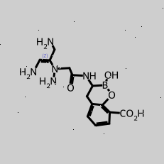 N/C=C(/CN)N(N)CC(=O)NC1Cc2cccc(C(=O)O)c2OB1O